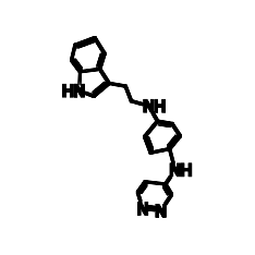 c1ccc2c(CCNc3ccc(Nc4ccnnc4)cc3)c[nH]c2c1